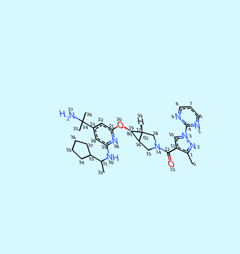 Cc1nn(-c2ncccn2)cc1C(=O)N1CC2[C@@H](C1)[C@@H]2Oc1cc(C(C)(C)N)cc(NC(C)C2CCCC2)n1